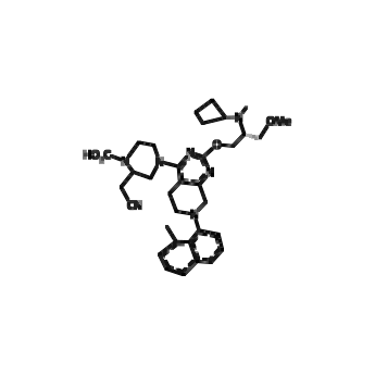 COC[C@H](COc1nc2c(c(N3CCN(C(=O)O)C(CC#N)C3)n1)CCN(c1cccc3cccc(C)c13)C2)N(C)C1CCC1